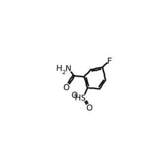 NC(=O)c1cc(F)ccc1[SH](=O)=O